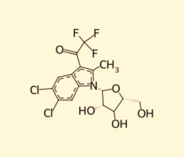 Cc1c(C(=O)C(F)(F)F)c2cc(Cl)c(Cl)cc2n1[C@@H]1O[C@H](CO)C(O)[C@@H]1O